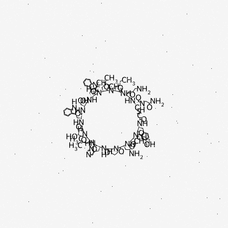 CCCC[C@H]1C(=O)N(C)[C@@H](CCCC)C(=O)N[C@@H](CCCN)C(=O)N[C@H](C(=O)NCC(N)=O)CSCC(=O)N[C@@H](Cc2ccc(O)cc2)C(=O)N(C)[C@@H](C)C(=O)N[C@@H](CC(N)=O)C(=O)N2CCC[C@H]2C(=O)N[C@@H](Cc2cnc[nH]2)C(=O)N[C@@H](CC(C)C)C(=O)N2C[C@H](O)C[C@H]2C(=O)N[C@@H](Cc2c[nH]c3ccccc23)C(=O)N[C@@H](CO)C(=O)N[C@H](Cc2cn(C)c3ccccc23)C(=O)N1C